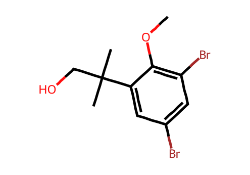 COc1c(Br)cc(Br)cc1C(C)(C)CO